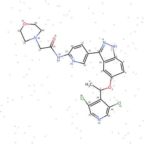 CC(Oc1ccc2[nH]nc(-c3ccc(NC(=O)CN4CCOCC4)nc3)c2c1)c1c(Cl)cncc1Cl